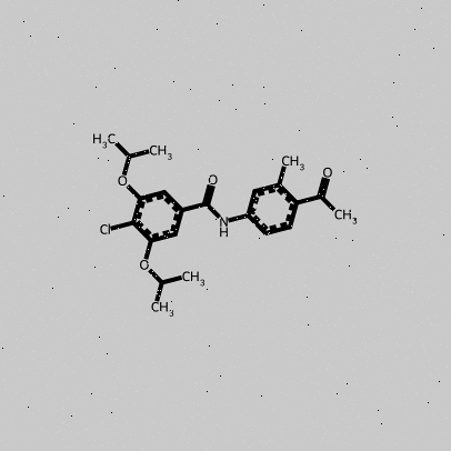 CC(=O)c1ccc(NC(=O)c2cc(OC(C)C)c(Cl)c(OC(C)C)c2)cc1C